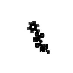 NNC(=O)CNC(=O)OCc1ccccc1